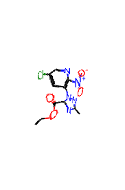 CCOC(=O)c1nc(C)nn1-c1cc(Cl)cnc1[N+](=O)[O-]